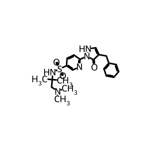 CN(C)CC(C)(C)NS(=O)(=O)c1ccc(-n2[nH]cc(Cc3ccccc3)c2=O)nc1